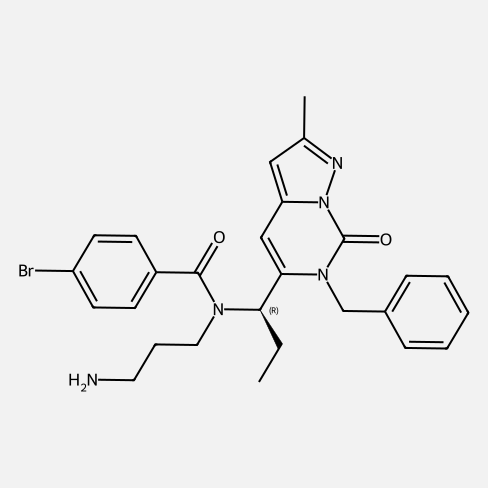 CC[C@H](c1cc2cc(C)nn2c(=O)n1Cc1ccccc1)N(CCCN)C(=O)c1ccc(Br)cc1